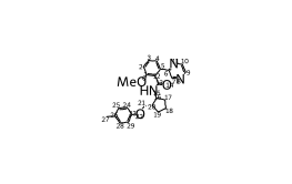 COc1cccc(-c2cnccn2)c1C(=O)N[C@H]1CCC[C@@H]1COc1ccc(C)cc1